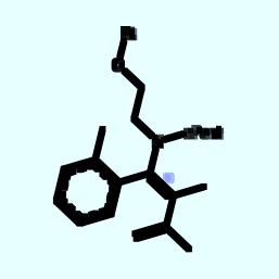 C=C(C)/C(C)=C(\c1ccccc1C)N(CCCCC)CCOCC